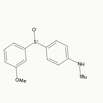 COc1cccc([S+]([O-])c2ccc(NC(C)(C)C)cc2)c1